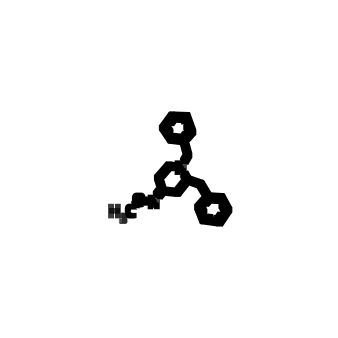 CON=C1CCN(Cc2ccccc2)C(Cc2ccccc2)C1